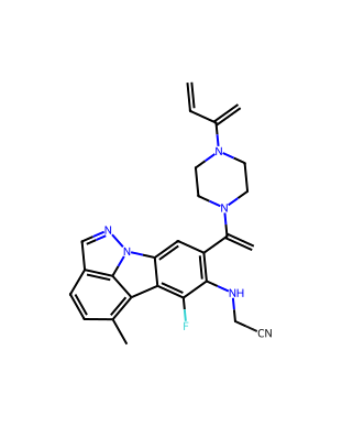 C=CC(=C)N1CCN(C(=C)c2cc3c(c(F)c2NCC#N)c2c(C)ccc4cnn3c42)CC1